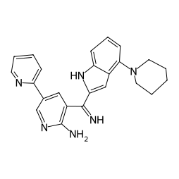 N=C(c1cc2c(N3CCCCC3)cccc2[nH]1)c1cc(-c2ccccn2)cnc1N